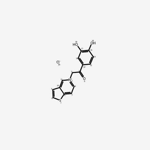 O=C(C[n+]1ccc2sccc2c1)c1ccc(O)c(O)c1.[Cl-]